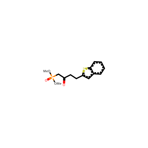 COP(=O)(CC(=O)CCc1cc2ccccc2s1)OC